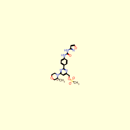 C[C@H]1COCCN1c1cc(COS(C)(=O)=O)nc(-c2ccc(NC(=O)Nc3ccon3)cc2)n1